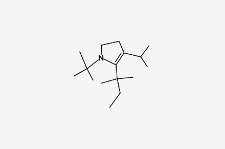 CCC(C)(C)C1=C(C(C)C)CCN1C(C)(C)C